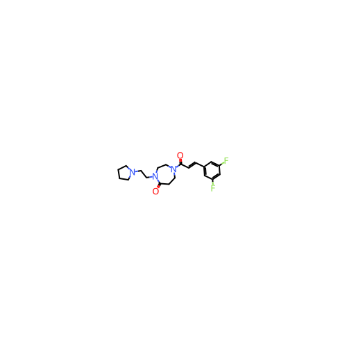 O=C(C=Cc1cc(F)cc(F)c1)N1CCC(=O)N(CCN2CCCC2)CC1